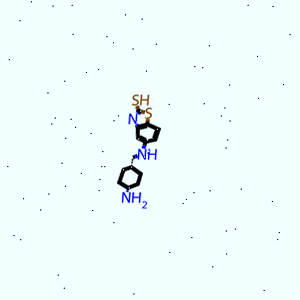 N[C@H]1CC[C@H](CNc2ccc3sc(S)nc3c2)CC1